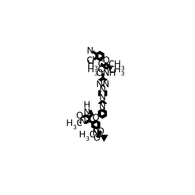 CN(c1ccc(Oc2cccc(N3CC(N4CCN(c5ncc(C(=O)NC6C(C)(C)C(Oc7ccc(C#N)c(Cl)c7)C6(C)C)cn5)CC4)C3)c2)c(-c2cn(C)c(=O)c3[nH]ccc23)c1)S(=O)(=O)C1CC1